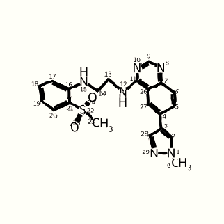 Cn1cc(-c2ccc3ncnc(NCCNc4ccccc4S(C)(=O)=O)c3c2)cn1